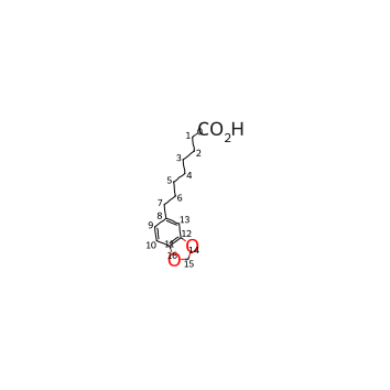 O=C(O)CCCCCCCc1ccc2c(c1)OCO2